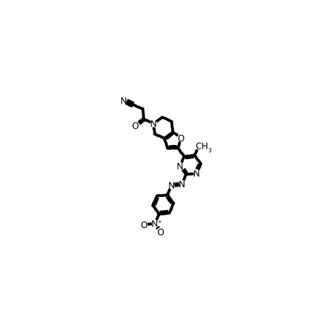 Cc1cnc(N=Nc2ccc([N+](=O)[O-])cc2)nc1-c1cc2c(o1)CCN(C(=O)CC#N)C2